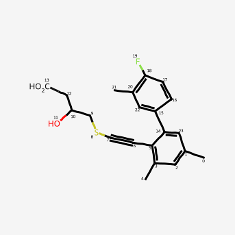 Cc1cc(C)c(C#CSCC(O)CC(=O)O)c(-c2ccc(F)c(C)c2)c1